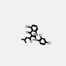 CC(C)CC(=O)c1c(Nc2ccc(Cl)cc2Cl)[nH]c2cccc(Cl)c2c1=O